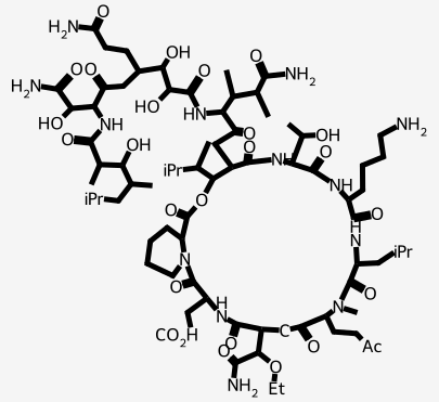 CCOC(C(N)=O)C1CC(=O)C(CCC(C)=O)N(C)C(=O)C(CC(C)C)NC(=O)C(CCCCN)NC(=O)C(C(C)O)NC(=O)C(CC(=O)C(NC(=O)C(O)C(O)C(CCC(N)=O)CC(=O)C(NC(=O)C(C)C(O)C(C)CC(C)C)C(O)C(N)=O)C(C)C(C)C(N)=O)C(C(C)C(C)C)OC(=O)C2CCCCN2C(=O)C(CC(=O)O)NC1=O